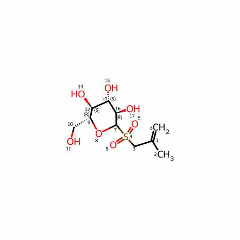 C=C(C)CS(=O)(=O)C1O[C@H](CO)[C@@H](O)[C@H](O)[C@H]1O